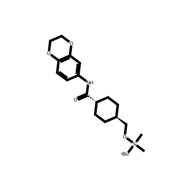 CC(C)(C)[Si](C)(C)OC[C@H]1CC[C@H](C(=O)Nc2ccc3c(c2)OCCO3)CC1